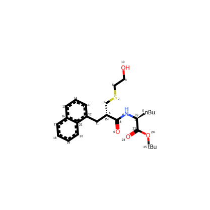 CCCC[C@H](NC(=O)[C@@H](CSCCO)Cc1cccc2ccccc12)C(=O)OC(C)(C)C